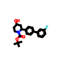 CC(C)(C)OC(=O)N1CCC(O)CC1c1ccc(-c2cccc(F)c2)cc1